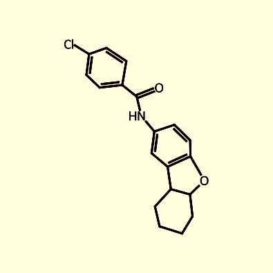 O=C(Nc1ccc2c(c1)C1CCCCC1O2)c1ccc(Cl)cc1